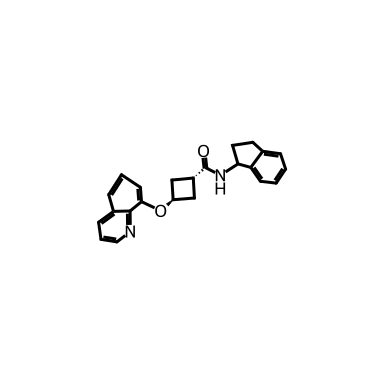 O=C(NC1CCc2ccccc21)[C@H]1C[C@H](Oc2cccc3cccnc23)C1